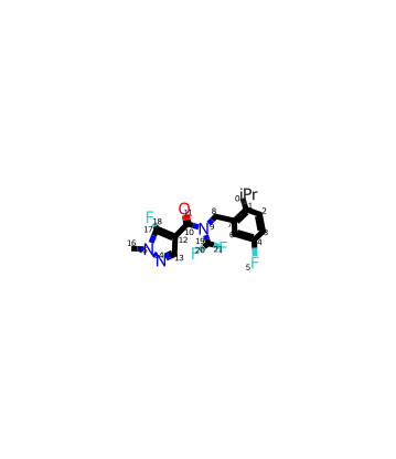 CC(C)c1ccc(F)cc1CN(C(=O)c1cnn(C)c1F)C(F)F